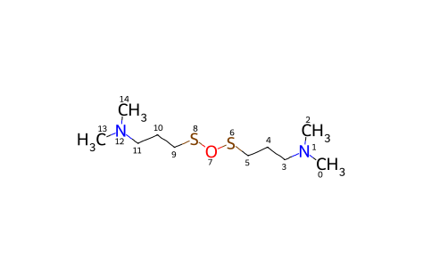 CN(C)CCCSOSCCCN(C)C